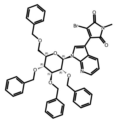 CN1C(=O)C(Br)=C(c2cn([C@@H]3O[C@H](COCc4ccccc4)[C@@H](OCc4ccccc4)[C@H](OCc4ccccc4)[C@H]3OCc3ccccc3)c3ncccc23)C1=O